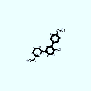 CCOc1ccc(-c2cc([C@@H]3CCC[C@H](CO)O3)ccc2Cl)cc1